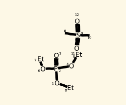 CCOP(=O)(OCC)OCC.CS(C)(=O)=O